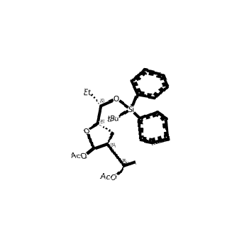 CC[C@H](O[Si](c1ccccc1)(c1ccccc1)C(C)(C)C)[C@@H]1C[C@@H]([C@@H](C)OC(C)=O)C(OC(C)=O)O1